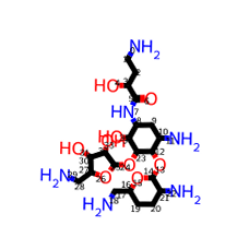 NCCC(O)C(=O)NC1CC(N)C(OC2OC(CN)CCC2N)C(OC2OC(CN)C(O)C2O)C1O